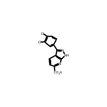 O=C(O)c1ccc2c(-c3ccc(Cl)c(Cl)c3)n[nH]c2n1